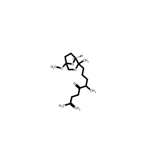 C=C(C)CCC(=O)C(C)CCCC1(C)OCC2(OC)CC[C@@H]1O2